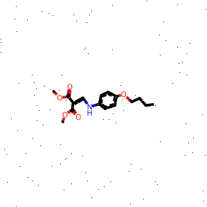 CCCCOc1ccc(NC=C(C(=O)OC)C(=O)OC)cc1